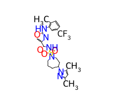 Cc1cc(C)n(C2CCCN(S(=O)(=O)NC(=O)c3coc(Nc4cc(C(F)(F)F)ccc4C)n3)CC2)n1